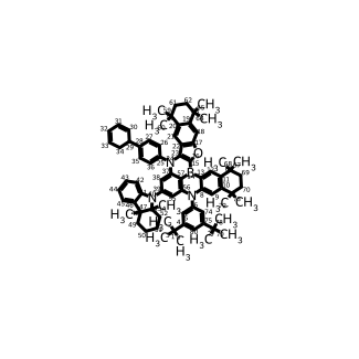 CC(C)(C)c1cc(N2c3cc4c(cc3B3c5oc6cc7c(cc6c5N(c5ccc(C6C=CC=CC6)cc5)c5cc(N6c8ccccc8C8(C)CCCCC68C)cc2c53)C(C)(C)CCC7(C)C)C(C)(C)CCC4(C)C)cc(C(C)(C)C)c1